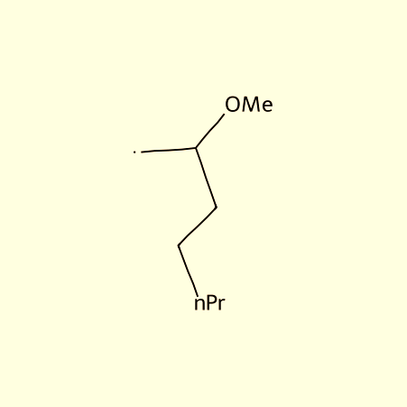 [CH2]C(CCCCC)OC